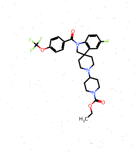 CCOC(=O)N1CCC(N2CCC3(CC2)CN(C(=O)c2ccc(OC(F)(F)F)cc2)c2ccc(F)cc23)CC1